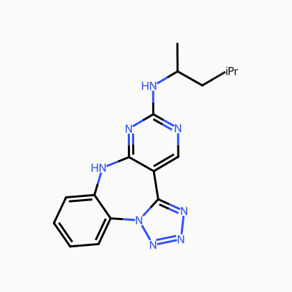 CC(C)CC(C)Nc1ncc2c(n1)Nc1ccccc1-n1nnnc1-2